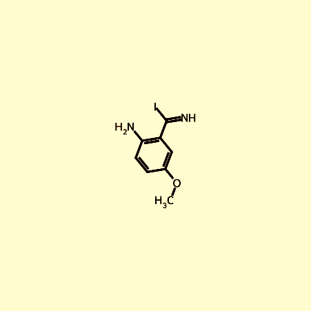 COc1ccc(N)c(C(=N)I)c1